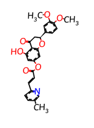 COc1ccc([C@@H]2CC(=O)c3c(O)cc(OC(=O)/C=C/c4ccc(C)cn4)cc3O2)cc1OC